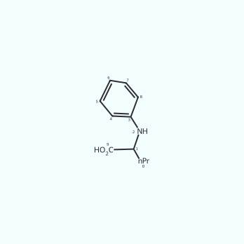 CCCC(Nc1ccccc1)C(=O)O